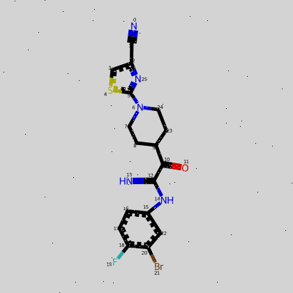 N#Cc1csc(N2CCC(C(=O)C(=N)Nc3ccc(F)c(Br)c3)CC2)n1